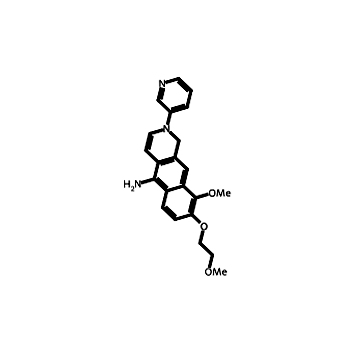 COCCOc1ccc2c(N)c3c(cc2c1OC)CN(c1cccnc1)C=C3